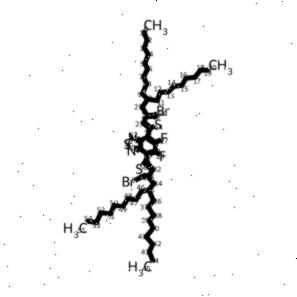 CCCCCCCCCCC(CCCCCCCCCC)Cc1cc(-c2c(F)c(F)c(-c3cc(CC(CCCCCCCCCC)CCCCCCCCCC)c(Br)s3)c3nsnc23)sc1Br